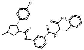 CN1C[C@H](C(=O)Nc2cccc(C(=O)N[C@@H](Cc3ccccc3)C(N)=O)c2)[C@@H](c2ccc(Cl)cc2)C1